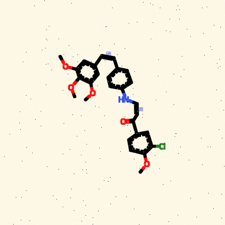 COc1ccc(C(=O)/C=C\Nc2ccc(/C=C\c3cc(OC)c(OC)c(OC)c3)cc2)cc1Cl